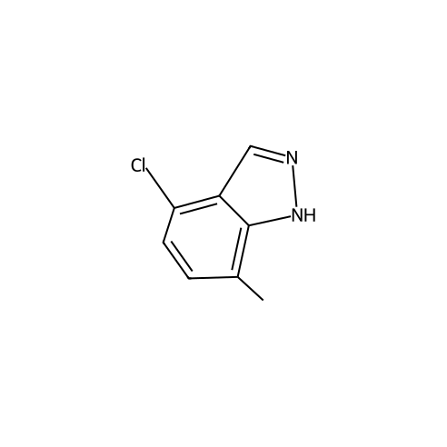 Cc1ccc(Cl)c2cn[nH]c12